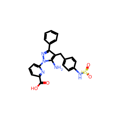 Nc1c(Cc2ccc(N[SH](=O)=O)cc2)c(-c2ccccc2)nn1-c1cccc(C(=O)O)n1